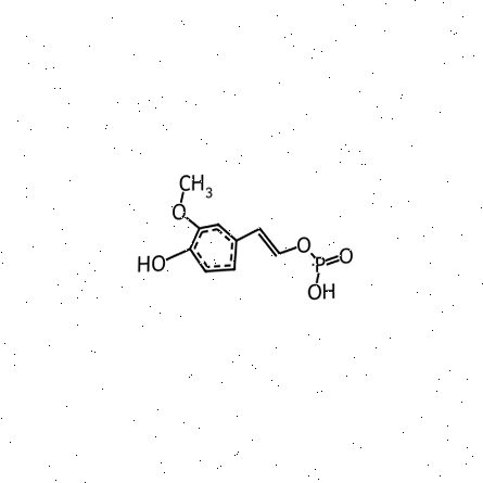 COc1cc(/C=C/O[P](=O)O)ccc1O